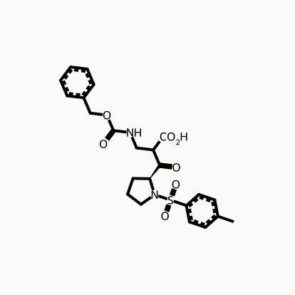 Cc1ccc(S(=O)(=O)N2CCC[C@H]2C(=O)C(CNC(=O)OCc2ccccc2)C(=O)O)cc1